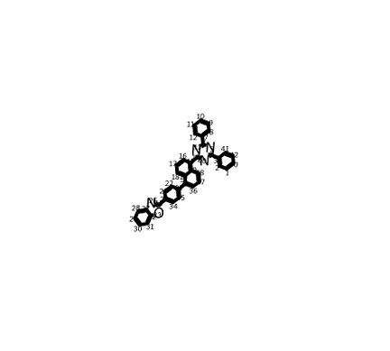 c1ccc(-c2nc(-c3ccccc3)nc(-c3cccc4c(-c5ccc(-c6nc7ccccc7o6)cc5)cccc34)n2)cc1